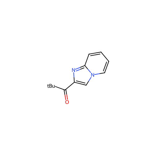 CC(C)(C)C(=O)c1cn2ccccc2n1